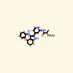 CN[C@H](C)C(=O)Nc1cc(-c2[nH]c3c(c2Nc2ccccc2)C(=O)CCC3)ccn1